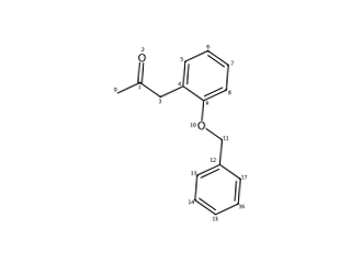 CC(=O)Cc1ccccc1OCc1ccccc1